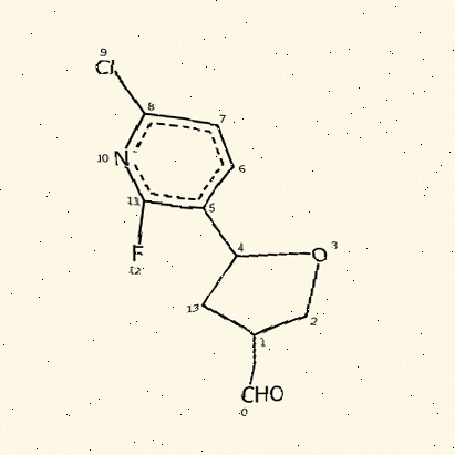 O=CC1COC(c2ccc(Cl)nc2F)C1